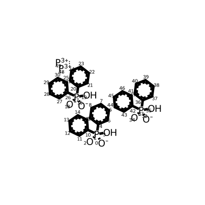 [O-]P([O-])(O)(c1ccccc1)c1ccccc1.[O-]P([O-])(O)(c1ccccc1)c1ccccc1.[O-]P([O-])(O)(c1ccccc1)c1ccccc1.[P+3].[P+3]